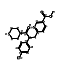 COC(=O)c1ccc(CN(C(=O)N2CCSCC2)c2ccc(Cl)cc2)nc1